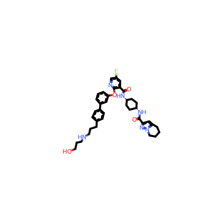 O=C(N[C@H]1CC[C@@H](NC(=O)c2cc(F)cnc2Oc2cccc(-c3ccc(CCCNCCCO)cc3)c2)CC1)c1cc2n(n1)CCCC2